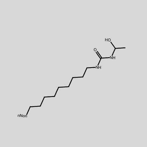 CCCCCCCCCCCCCCCCCCNC(=O)NC(C)O